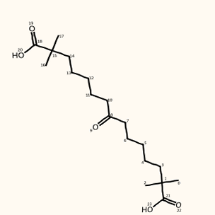 CC(C)(CCCCCC(=O)CCCCCC(C)(C)C(=O)O)C(=O)O